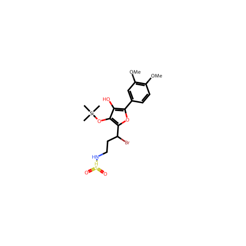 COc1ccc(-c2oc(C(Br)CCN[SH](=O)=O)c(O[Si](C)(C)C)c2O)cc1OC